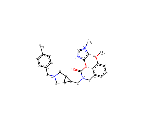 Cn1cnc(OC(=O)N(Cc2cccc(OC(F)(F)F)c2)CC2C3CN(Cc4ccc(C#N)cc4)CC32)c1